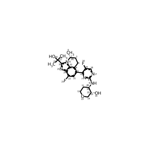 C[C@@H]1CCc2c(-c3nc(N[C@@H]4CCOC[C@H]4O)ncc3F)cc(F)c3nc(C(C)(C)O)n1c23